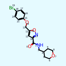 O=C(NCC1CCOCC1)c1cc(COc2ccc(Br)cc2)on1